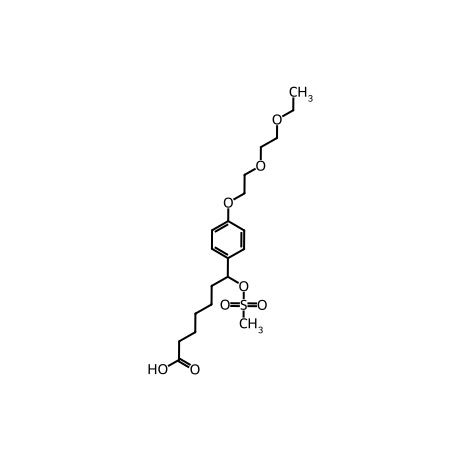 CCOCCOCCOc1ccc(C(CCCCCC(=O)O)OS(C)(=O)=O)cc1